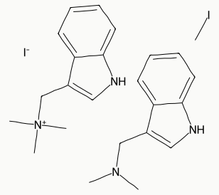 CI.CN(C)Cc1c[nH]c2ccccc12.C[N+](C)(C)Cc1c[nH]c2ccccc12.[I-]